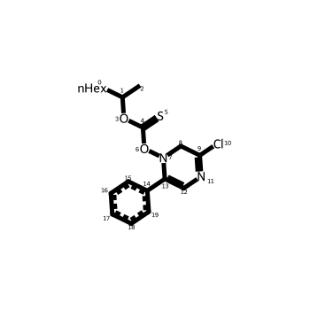 CCCCCCC(C)OC(=S)ON1CC(Cl)=NC=C1c1ccccc1